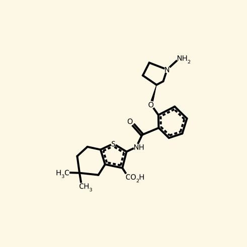 CC1(C)CCc2sc(NC(=O)c3ccccc3O[C@H]3CCN(N)C3)c(C(=O)O)c2C1